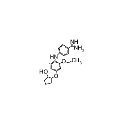 CCOc1cc(OC2CCCC2O)c[c]c1Nc1ccc(C(=N)N)cc1